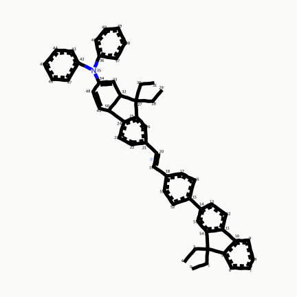 CCC1(CC)c2ccccc2-c2ccc(-c3ccc(/C=C/c4ccc5c(c4)C(CC)(CC)C4C=C(N(c6ccccc6)c6ccccc6)C=CC54)cc3)cc21